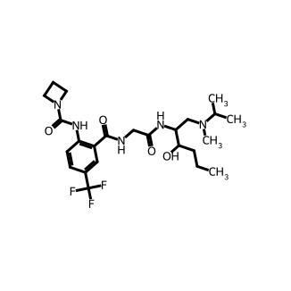 CCCC(O)C(CN(C)C(C)C)NC(=O)CNC(=O)c1cc(C(F)(F)F)ccc1NC(=O)N1CCC1